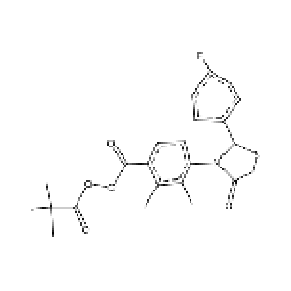 Cc1c(C(=O)OOC(=O)C(C)(C)C)ccc(N2C(=O)CSC2c2ccc(F)cc2)c1C